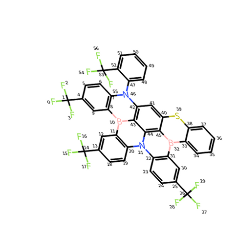 FC(F)(F)c1ccc2c(c1)B1c3cc(C(F)(F)F)ccc3N3c4ccc(C(F)(F)F)cc4B4c5ccccc5Sc5cc(c1c3c54)N2c1ccccc1C(F)(F)F